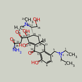 CCN(CC)Cc1ccc(O)c2c1C[C@H]1C[C@@H](C(CO)N(C)C)[C@@](O)(C(=O)CC(N)=O)C(O)=C1C2=O